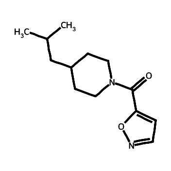 CC(C)CC1CCN(C(=O)c2ccno2)CC1